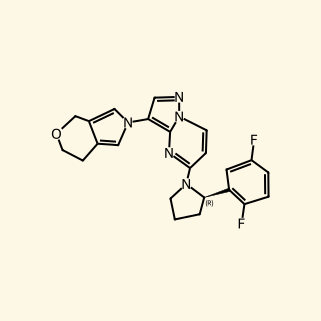 Fc1ccc(F)c([C@H]2CCCN2c2ccn3ncc(-n4cc5c(c4)COCC5)c3n2)c1